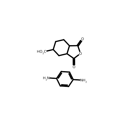 Nc1ccc(N)cc1.O=C(O)C1CCC2C(=O)OC(=O)C2C1